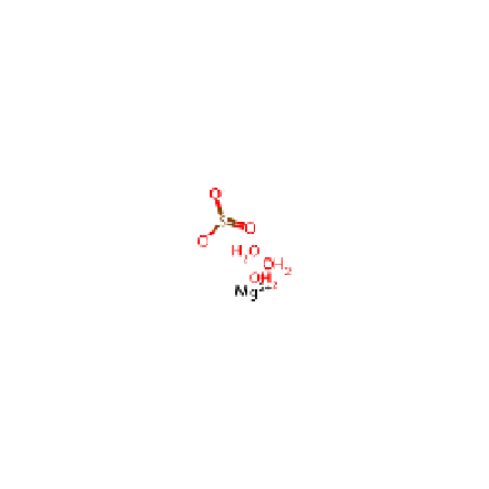 O.O.O.O=S([O-])[O-].[Mg+2]